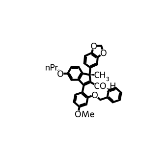 CCCOc1ccc2c(c1)C(c1ccc(OC)cc1OCc1ccccc1)=C(C(=O)O)[C@@]2(C)c1ccc2c(c1)OCO2